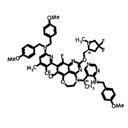 COc1ccc(CNc2ncncc2[C@@H](C)N2CCOc3c(Cl)c(-c4nc(N(Cc5ccc(OC)cc5)Cc5ccc(OC)cc5)cc(C)c4C(F)(F)F)c(F)c4nc(OC[C@@H]5CC(F)(F)CN5C)nc2c34)cc1